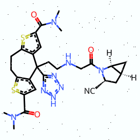 CN(C)C(=O)c1cc2c(s1)CCc1sc(C(=O)N(C)C)cc1C2(CCNCC(=O)N1[C@H](C#N)C[C@@H]2C[C@@H]21)c1nn[nH]n1